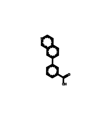 O=C(O)c1cccc(-c2ccc3ccncc3c2)c1